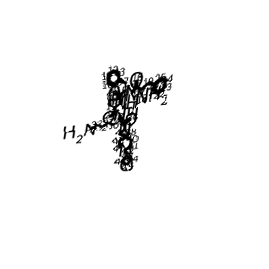 CC(C)C[C@@H](NC(=O)[C@@H](Cc1ccccc1)NC(=O)[C@H](N)Cc1ccccc1)C(=O)N[C@H](CCCCN)C(=O)N1CC2(CCN(C3COC3)CC2)C1